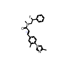 Cc1cn(-c2ccc(/C=C/C(=O)N(C)CC(F)c3ccccc3)cc2C)cn1